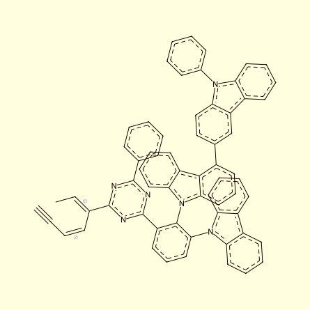 C#C/C=C\C(=C/C)c1nc(-c2ccccc2)nc(-c2cccc(-n3c4ccccc4c4ccccc43)c2-n2c3ccccc3c3c(-c4ccc5c(c4)c4ccccc4n5-c4ccccc4)cccc32)n1